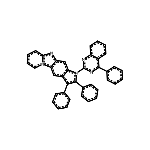 c1ccc(-c2nc(-n3c(-c4ccccc4)c(-c4ccccc4)c4cc5c(cc43)nc3ccccn35)nc3ccccc23)cc1